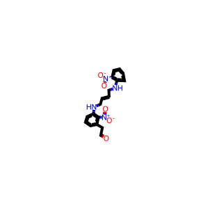 O=CCc1cccc(NC/C=C/CNc2ccccc2[N+](=O)[O-])c1[N+](=O)[O-]